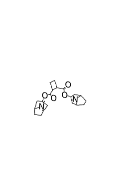 CN1C2CCC1CC(OC(=O)C1CCC1C(=O)OC1CC3CCC(C1)N3C)C2